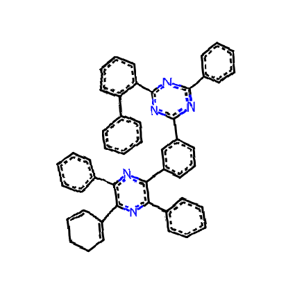 C1=CC(c2nc(-c3ccccc3)c(-c3cccc(-c4nc(-c5ccccc5)nc(-c5ccccc5-c5ccccc5)n4)c3)nc2-c2ccccc2)=CCC1